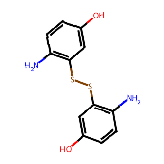 Nc1ccc(O)cc1SSc1cc(O)ccc1N